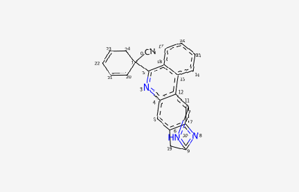 N#CC1(c2nc3cc4c5nc([nH]c5c3c3ccccc23)C4)C=CC=CC1